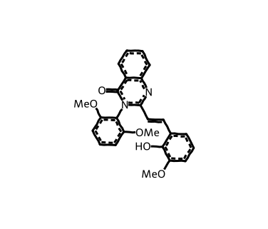 COc1cccc(C=Cc2nc3ccccc3c(=O)n2-c2c(OC)cccc2OC)c1O